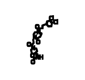 O=C1NCC2(CCN(C(=O)CCN3CCN(C(=O)C=Cc4ccc(Cl)c(Cl)c4)CCC3=O)CC2)O1